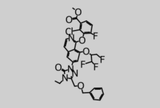 CCn1c(COCc2ccccc2)nn(-c2cc(OC(CF)C(F)F)c3c(Oc4c(F)ccc(C(=O)OC)c4Cl)nccc3c2)c1=O